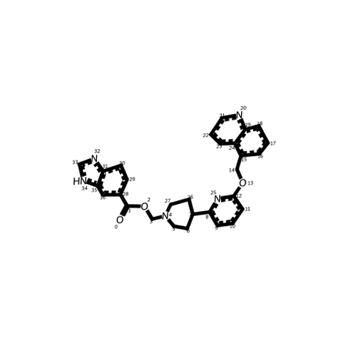 O=C(OCN1CCC(c2cccc(OCc3cccc4ncccc34)n2)CC1)c1ccc2nc[nH]c2c1